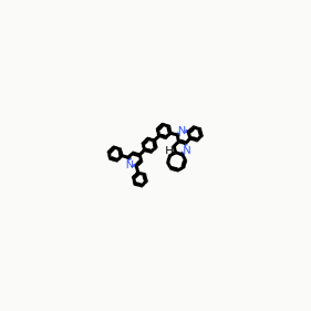 C1=C\CC[C@H]2Cc3c(-c4cccc(-c5ccc(-c6cc(-c7ccccc7)nc(-c7ccccc7)c6)cc5)c4)nc4ccccc4c3N=C2\C=C/1